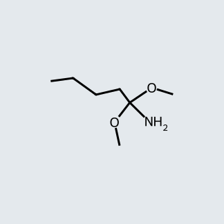 CCCCC(N)(OC)OC